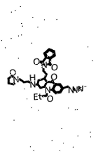 CCC(=O)N1c2ccc(CN=[N+]=[N-])cc2C(=O)C2C(CCN3C(=O)c4ccccc4C3=O)CC(NCCCN3CCCC3=O)CC21